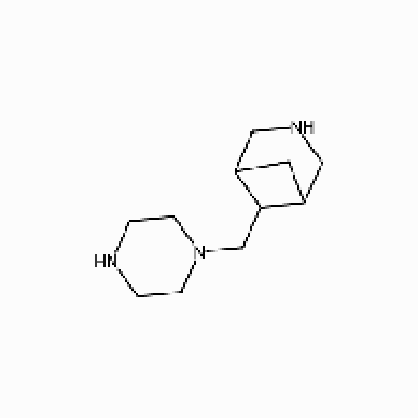 C1CN(CC2C3CNCC2C3)CCN1